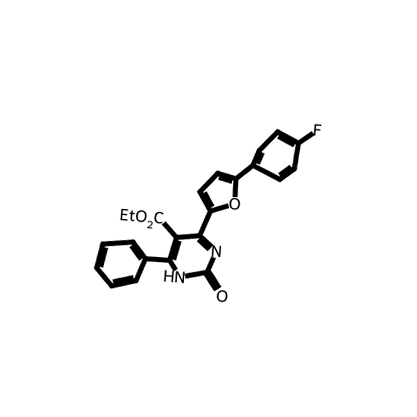 CCOC(=O)c1c(-c2ccc(-c3ccc(F)cc3)o2)nc(=O)[nH]c1-c1ccccc1